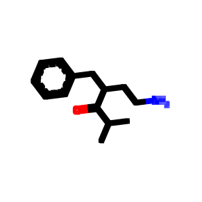 CC(C)C(=O)C(CCN)Cc1ccccc1